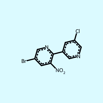 O=[N+]([O-])c1cc(Br)cnc1-c1cncc(Cl)c1